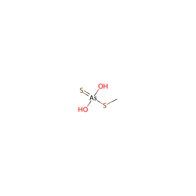 CS[As](O)(O)=S